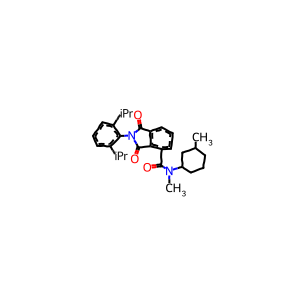 CC1CCCC(N(C)C(=O)c2cccc3c2C(=O)N(c2c(C(C)C)cccc2C(C)C)C3=O)C1